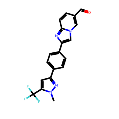 Cn1nc(-c2ccc(-c3cn4cc(C=O)ccc4n3)cc2)cc1C(F)(F)F